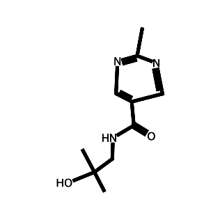 Cc1ncc(C(=O)NCC(C)(C)O)cn1